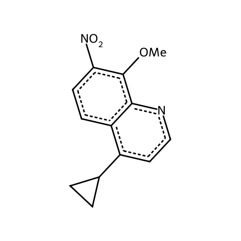 COc1c([N+](=O)[O-])ccc2c(C3CC3)ccnc12